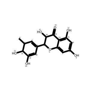 CC1C=C(C2Oc3cc(O)cc(O)c3C(=O)C2O)C=C(O)C1O